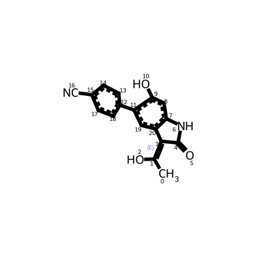 C/C(O)=C1\C(=O)Nc2cc(O)c(-c3ccc(C#N)cc3)cc21